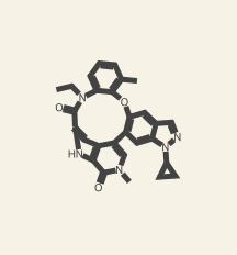 CCN1C(=O)c2cc3c(cn(C)c(=O)c3[nH]2)-c2cc3c(cnn3C3CC3)cc2Oc2c(C)cccc21